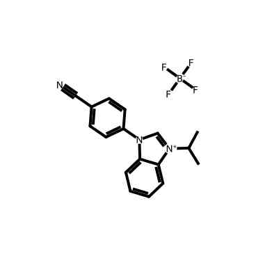 CC(C)[n+]1cn(-c2ccc(C#N)cc2)c2ccccc21.F[B-](F)(F)F